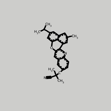 Cc1cc2c3c(cc(C(C)C)cc3c1)Oc1cc3cc(CC(C)(C)C#N)ccc3nc1-2